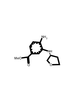 COC(=O)c1ccc(N)c(N[C@@H]2CCOC2)c1